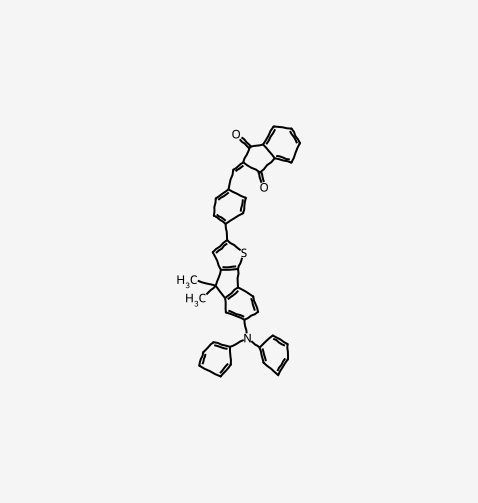 CC1(C)c2cc(N(c3ccccc3)c3ccccc3)ccc2-c2sc(-c3ccc(C=C4C(=O)c5ccccc5C4=O)cc3)cc21